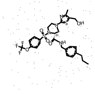 CCCc1ccc(CNC(=O)[C@H]2CN(c3nc(C)c(CO)s3)CCN2S(=O)(=O)c2ccc(OC(F)(F)F)cc2)cc1